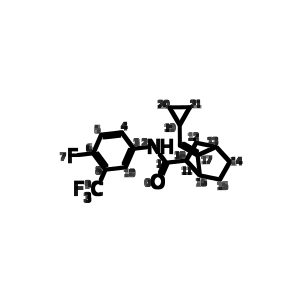 O=C(Nc1ccc(F)c(C(F)(F)F)c1)C1CC2CCC1C2=CC1CC1